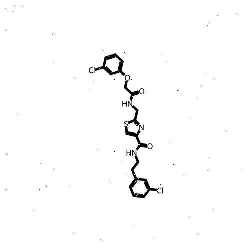 O=C(COc1cccc(Cl)c1)NCc1nc(C(=O)NCCc2cccc(Cl)c2)cs1